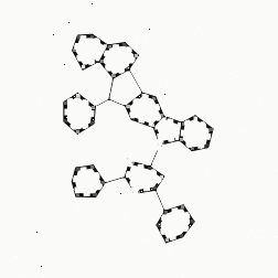 c1ccc(-c2cc(-n3c4ccccc4c4cc5c(cc43)C(c3ccccc3)c3c-5ccc4ccccc34)nc(-c3ccccc3)n2)cc1